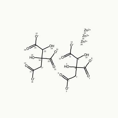 O=C([O-])CC(O)(C(=O)[O-])C(O)C(=O)[O-].O=C([O-])CC(O)(C(=O)[O-])C(O)C(=O)[O-].[Zn+2].[Zn+2].[Zn+2]